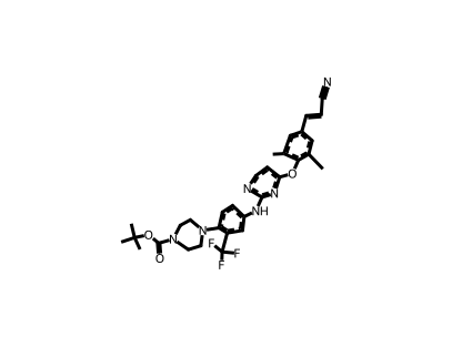 Cc1cc(C=CC#N)cc(C)c1Oc1ccnc(Nc2ccc(N3CCN(C(=O)OC(C)(C)C)CC3)c(C(F)(F)F)c2)n1